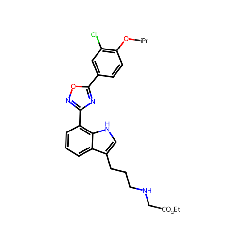 CCOC(=O)CNCCCc1c[nH]c2c(-c3noc(-c4ccc(OC(C)C)c(Cl)c4)n3)cccc12